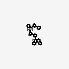 c1ccc(-c2cccc(-c3nc(-c4cccc(-c5cccc(-c6nc7ccccc7c7c6ccc6ccccc67)c5)c4)nc4ccccc34)c2)cc1